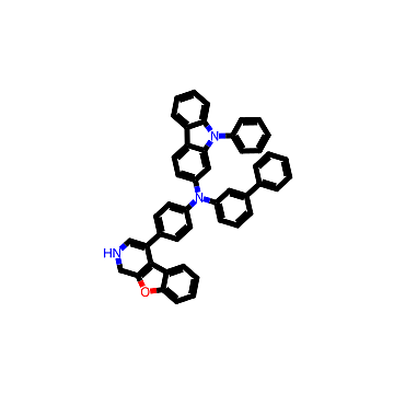 C1=C(c2ccc(N(c3cccc(-c4ccccc4)c3)c3ccc4c5ccccc5n(-c5ccccc5)c4c3)cc2)c2c(oc3ccccc23)CN1